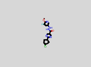 COc1ncc(NNC(=O)c2cnc(-c3ccc(Cl)cc3)nc2)cc1F